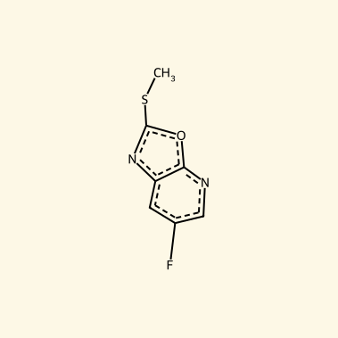 CSc1nc2cc(F)cnc2o1